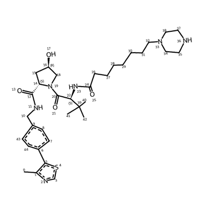 Cc1ncsc1-c1ccc(CNC(=O)[C@@H]2C[C@@H](O)CN2C(=O)[C@@H](NC(=O)CCCCCCCN2CCNCC2)C(C)(C)C)cc1